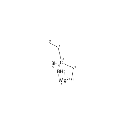 CCOCC.[BH4-].[BH4-].[Mg+2]